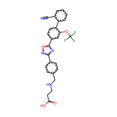 N#Cc1ccccc1-c1ccc(-c2nc(-c3ccc(CNCCC(=O)O)cc3)no2)cc1OC(F)(F)F